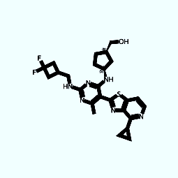 Cc1nc(NCC2CC(F)(F)C2)nc(N[C@H]2CC[C@@H](CO)C2)c1-c1nc2c(C3CC3)nccc2s1